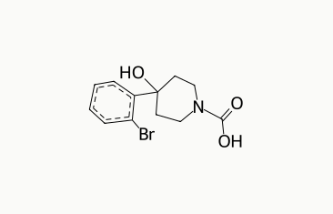 O=C(O)N1CCC(O)(c2ccccc2Br)CC1